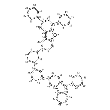 C1=CC(c2ccc3oc4c(-c5ccccc5)nc(-c5ccccc5)nc4c3c2)CC(c2cccc(-c3ccc4c(c3)c3ccccc3n4-c3ccccc3)c2)=C1